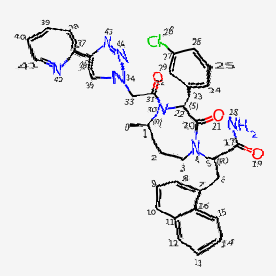 C[C@@H]1CCN([C@H](Cc2cccc3ccccc23)C(N)=O)C(=O)[C@H](c2cccc(Cl)c2)N1C(=O)Cn1cc(-c2ccccn2)nn1